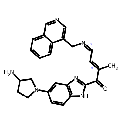 C/C(=C\C=N/Cc1cncc2ccccc12)C(=O)c1nc2cc(N3CCC(N)C3)ccc2[nH]1